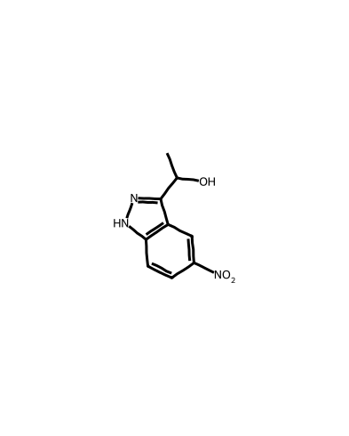 CC(O)c1n[nH]c2ccc([N+](=O)[O-])cc12